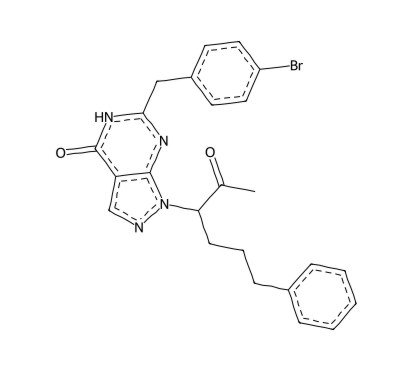 CC(=O)C(CCCc1ccccc1)n1ncc2c(=O)[nH]c(Cc3ccc(Br)cc3)nc21